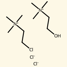 C[N+](C)(C)CCCl.C[N+](C)(C)CCO.[Cl-].[Cl-]